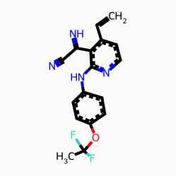 C=Cc1ccnc(Nc2ccc(OC(C)(F)F)cc2)c1C(=N)C#N